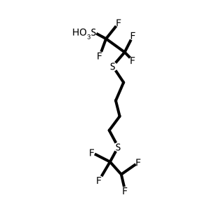 O=S(=O)(O)C(F)(F)C(F)(F)SCCCCSC(F)(F)C(F)F